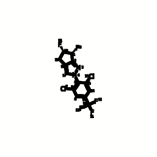 F[C@@H]1c2nn(-c3c(Cl)cc(C(F)(F)F)cc3Cl)cc2C[C@@H]1F